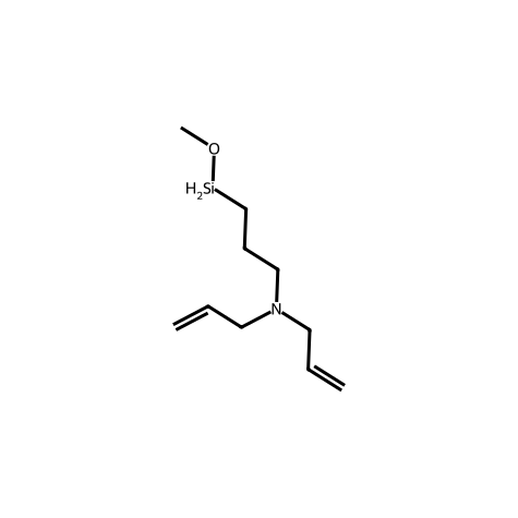 C=CCN(CC=C)CCC[SiH2]OC